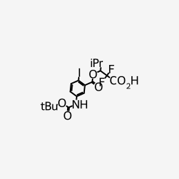 CC(C)C(OC(=O)c1cc(NC(=O)OC(C)(C)C)ccc1I)C(F)(F)C(=O)O